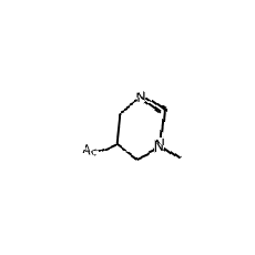 CC(=O)C1CN=CN(C)C1